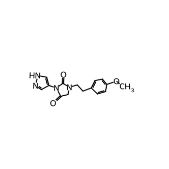 COc1ccc(CCN2CC(=O)N(c3cn[nH]c3)C2=O)cc1